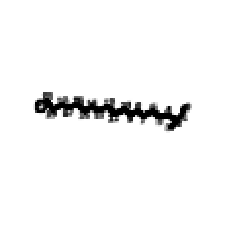 CCC(C)CCCCCCCCCCCCCCCCC=O